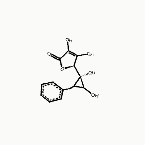 O=C1O[C@H]([C@@]2(O)C(O)C2c2ccccc2)C(O)=C1O